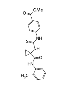 COC(=O)c1ccc(NC(=S)NC2(C(=O)Nc3ccccc3C)CC2)cc1